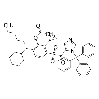 CCCCC[C@H](c1ccc(S(=O)(=O)C(=O)c2cncn2C(c2ccccc2)(c2ccccc2)c2ccccc2)c(C2CC2)c1OC(C)=O)C1CCCCC1